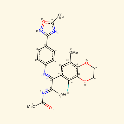 COC(=O)/N=C(SC)/C(=N/c1ccc(-c2noc(C(F)(F)F)n2)cc1)c1cc(OC)c2c(c1F)OCCO2